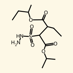 CCC(C)OC(=O)C(CC)C(C(=O)OC(C)C)S(=O)(=O)NN